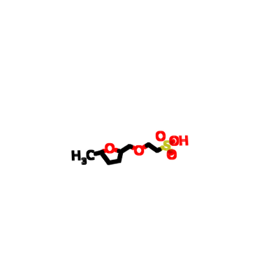 CC1CCC(COCCS(=O)(=O)O)O1